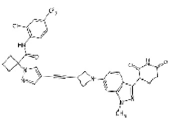 Cn1nc(C2CCC(=O)NC2=O)c2ccc(N3CC(C#Cc4cnn(C5(C(=O)Nc6ccc(C(F)(F)F)cc6Cl)CCC5)c4)C3)cc21